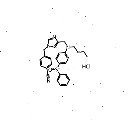 CCCCN(Cc1cn(Cc2ccc(C#N)cc2)cn1)c1ccc([S+]([O-])c2ccccc2)cc1.Cl